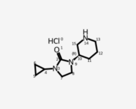 Cl.O=C1N(C2CC2)CCN1[C@@H]1CCCNC1